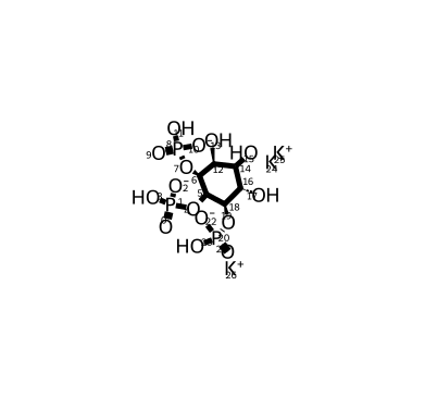 O=P([O-])(O)OC1[C@@H](OP(=O)([O-])O)[C@@H](O)C(O)[C@H](O)[C@H]1OP(=O)([O-])O.[K+].[K+].[K+]